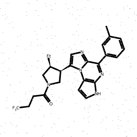 CC[C@@H]1CN(C(=O)CCC(F)(F)F)C[C@@H]1c1cnc2c(-c3cccc(C)c3)nc3[nH]ccc3n12